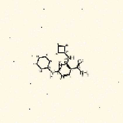 NC(=O)c1cnc(NC2CCCCC2)nc1NC1CCC1